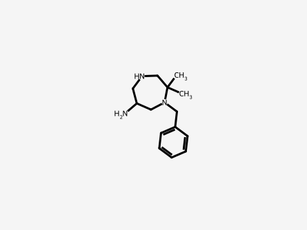 CC1(C)CNCC(N)CN1Cc1ccccc1